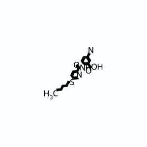 CCCCCCSc1ccc(C(=O)Nc2ccc(C#N)cc2C(=O)O)nc1